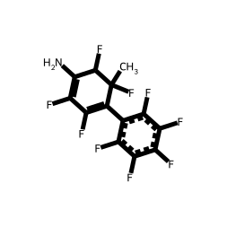 CC1(F)C(c2c(F)c(F)c(F)c(F)c2F)=C(F)C(F)=C(N)C1F